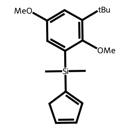 COc1cc(C(C)(C)C)c(OC)c([Si](C)(C)C2=CC=CC2)c1